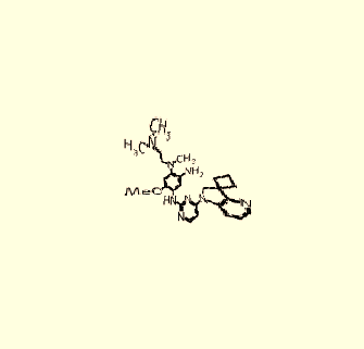 COc1cc(N(C)CCN(C)C)c(N)cc1Nc1nccc(N2CC3(CCC3)c3ncccc32)n1